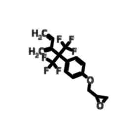 C=CC(=C)C(c1ccc(OCC2CO2)cc1)(C(F)(F)F)C(F)(F)F